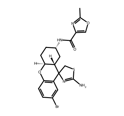 Cc1nc(C(=O)N[C@H]2CC[C@@H]3Oc4ccc(Br)cc4C4(CSC(N)=N4)[C@H]3C2)co1